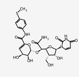 CSc1ccc(NC(=O)C2=C[C@H](O)[C@H](O)[C@@H](O[C@@H](C(N)=O)[C@H]3O[C@@H](n4ccc(=O)[nH]c4=O)[C@H](O)[C@@H]3CO)O2)cc1